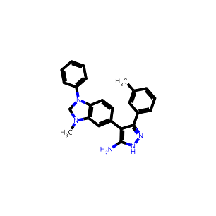 Cc1cccc(-c2n[nH]c(N)c2-c2ccc3c(c2)N(C)CN3c2ccccc2)c1